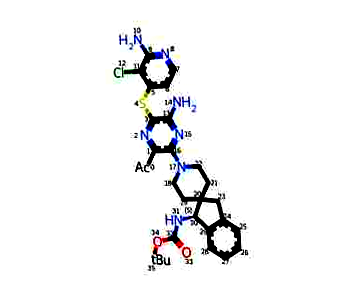 CC(=O)c1nc(Sc2ccnc(N)c2Cl)c(N)nc1N1CCC2(CC1)Cc1ccccc1[C@H]2NC(=O)OC(C)(C)C